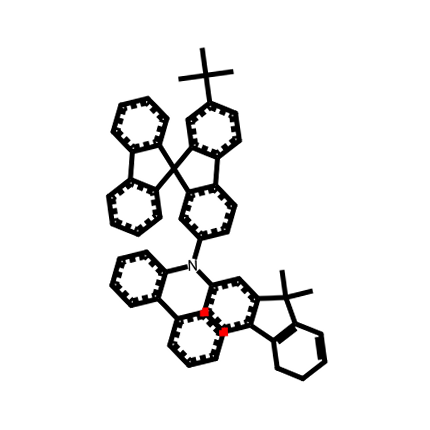 CC(C)(C)c1ccc2c(c1)C1(c3ccccc3-c3ccccc31)c1cc(N(c3ccc4c(c3)C(C)(C)C3=C4CCC=C3)c3ccccc3-c3ccccc3)ccc1-2